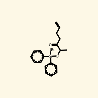 C=CCCC(=O)C(C)O[Si](c1ccccc1)(c1ccccc1)C(C)(C)C